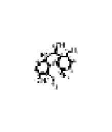 C=C(Nc1ccc(C)c(N)c1)c1cc(C)ccc1C